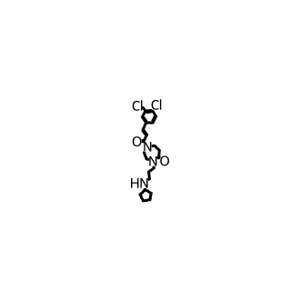 O=C(C=Cc1ccc(Cl)c(Cl)c1)N1CCC(=O)N(CCCNC2CCCC2)CC1